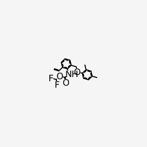 C=Cc1cccc(COc2ccc(C)cc2C)c1NC(=O)OC(F)F